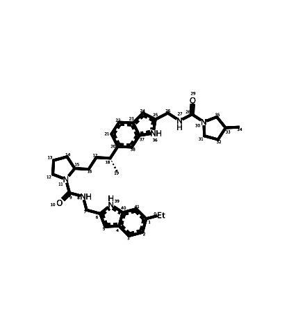 CCc1ccc2cc(CNC(=O)N3CCCC3CC[C@@H](C)c3ccc4cc(CNC(=O)N5CCC(C)C5)[nH]c4c3)[nH]c2c1